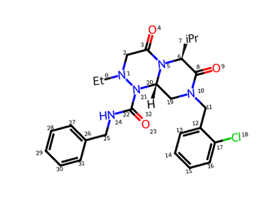 CCN1CC(=O)N2[C@@H](C(C)C)C(=O)N(Cc3ccccc3Cl)C[C@@H]2N1C(=O)NCc1ccccc1